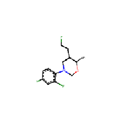 CCCC1OCN(c2ccc(F)cc2F)CC1CCF